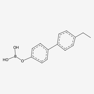 CCc1ccc(-c2ccc(OB(O)O)cc2)cc1